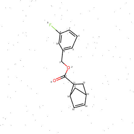 O=C(OCc1cccc(F)c1)C1CC2C=CC1C2